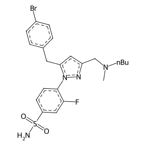 CCCCN(C)Cc1cc(Cc2ccc(Br)cc2)n(-c2ccc(S(N)(=O)=O)cc2F)n1